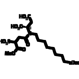 CCCCCCCCCCCCCCCCCCN(C(=O)CC(C(=O)OC)S(=O)(=O)O)[C@@H](CC(=O)O)C(=O)O